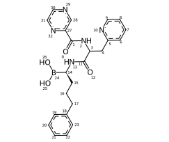 O=C(NC(Cc1ccccn1)C(=O)N[C@@H](CCCc1ccccc1)B(O)O)c1cnccn1